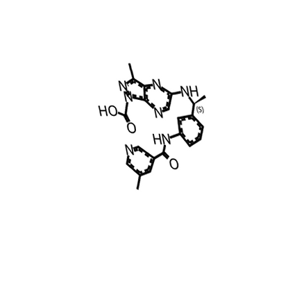 Cc1cncc(C(=O)Nc2cccc([C@H](C)Nc3cnc4c(n3)c(C)nn4C(=O)O)c2)c1